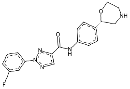 O=C(Nc1ccc([C@H]2CNCCO2)cc1)c1cnn(-c2cccc(F)c2)n1